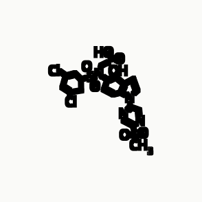 CS(=O)(=O)c1cnc(-n2ccc3cc(N(CP(=O)(O)O)S(=O)(=O)C4C=C(Cl)C=C(Cl)C4)ccc32)cn1